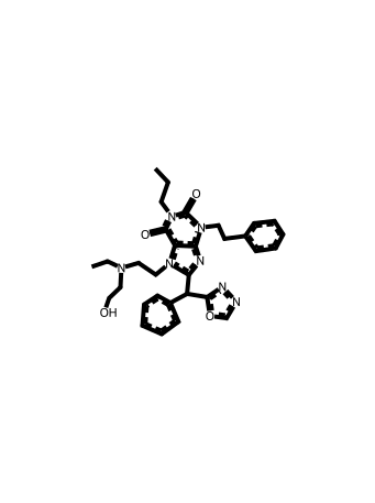 CCCn1c(=O)c2c(nc(C(c3ccccc3)c3nnco3)n2CCN(CC)CCO)n(CCc2ccccc2)c1=O